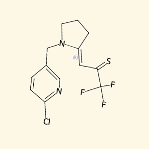 FC(F)(F)C(=S)/C=C1\CCCN1Cc1ccc(Cl)nc1